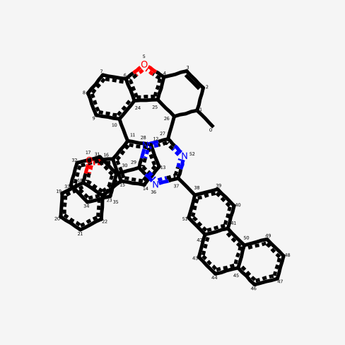 CC1C=Cc2oc3cccc(-c4cccc5c4oc4ccccc45)c3c2C1c1nc(-c2ccccc2)nc(-c2ccc3c(ccc4ccccc43)c2)n1